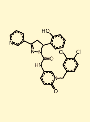 O=C(Nc1ccc(=O)n(Cc2ccc(Cl)c(Cl)c2)c1)N1N=C(c2cccnc2)CC1c1ccccc1O